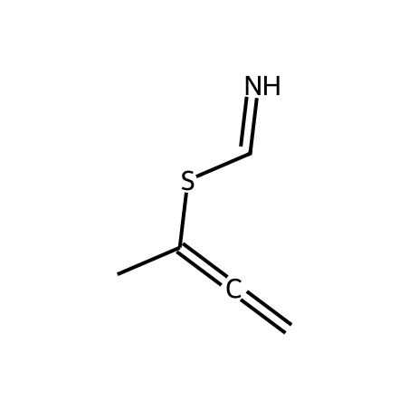 C=C=C(C)SC=N